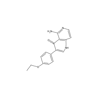 CCOc1ccc(-c2c[nH]c3ccnc(N)c3c2=O)cc1